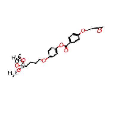 CO[Si](CCCCOc1ccc(OC(=O)c2ccc(OCCC3CO3)cc2)cc1)(OC)OC